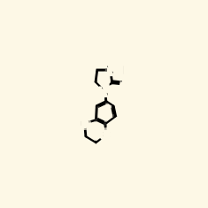 S=C1NCCN1c1ccc2c(c1)OCCO2